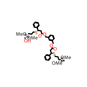 CO[Si](C)(CCCSC(CC(=O)OCc1cccc(COC(=O)CC(SCCC[Si](CO)(OC)OC)c2ccccc2)c1)c1ccccc1)OC